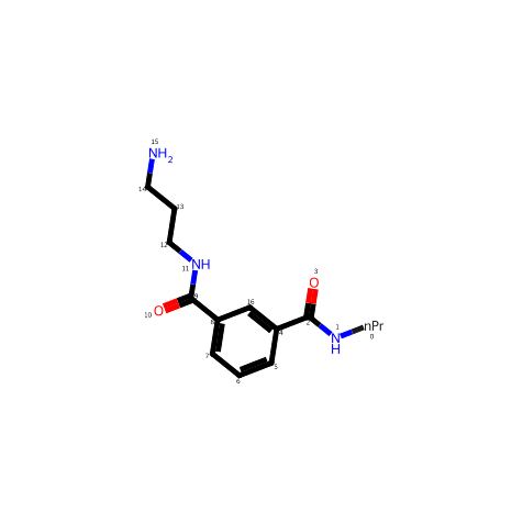 CCCNC(=O)c1cccc(C(=O)NCCCN)c1